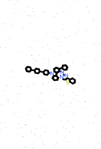 c1ccc(-c2ccc(-c3ccc(-n4c5ccccc5c5c4ccc4c6ccccc6n(-c6ncc7sc8ccccc8c7n6)c45)cc3)cc2)cc1